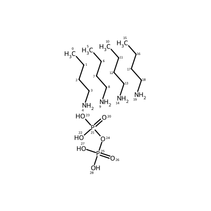 CCCCN.CCCCN.CCCCN.CCCCN.O=P(O)(O)OP(=O)(O)O